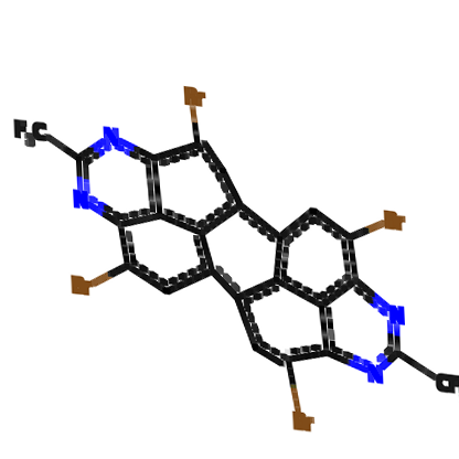 FC(F)(F)c1nc2c(Br)cc3c4cc(Br)c5nc(C(F)(F)F)nc6c(Br)cc(c7cc(Br)c(n1)c2c37)c4c56